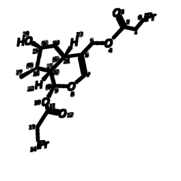 CC(C)CC(=O)OCC1=CO[C@@H](OC(=O)CC(C)C)[C@@H]2[C@@H](C)[C@@H](O)C[C@H]12